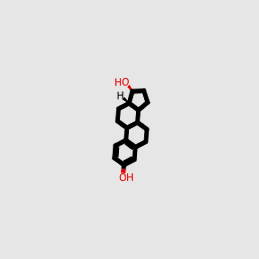 Oc1ccc2c(c1)CCC1C2CC[C@H]2C1CC[C@@H]2O